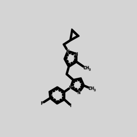 Cc1cc(Cc2cn(CC3CC3)nc2C)n(-c2ccc(F)cc2I)n1